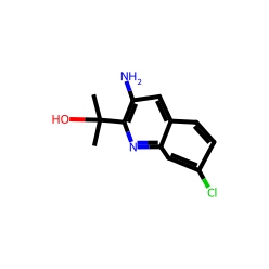 CC(C)(O)c1nc2cc(Cl)ccc2cc1N